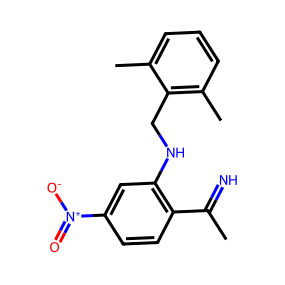 CC(=N)c1ccc([N+](=O)[O-])cc1NCc1c(C)cccc1C